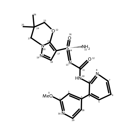 COc1cc(-c2cccnc2NC(=O)N=[S@](N)(=O)c2cnn3c2OCC(C)(C)C3)ccn1